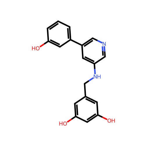 Oc1cc(O)cc(CNc2cncc(-c3cccc(O)c3)c2)c1